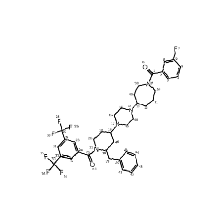 O=C(c1cccc(F)c1)N1CCCC(N2CCN(C3CCN(C(=O)c4cc(C(F)(F)F)cc(C(F)(F)F)c4)C(Cc4ccccc4)C3)CC2)CC1